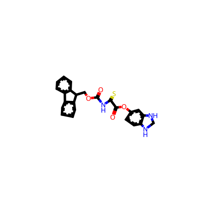 O=C(NC(=S)C(=O)Oc1ccc2c(c1)NCN2)OCC1c2ccccc2-c2ccccc21